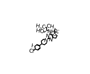 CC(C)[C@H](CO)Nc1nc(N2CCC(C3=C[C@@H](I)C(Cl)C=C3)CC2)nc2c1[S+]([O-])CC2